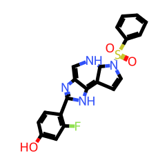 O=S(=O)(c1ccccc1)N1C=CC2=c3[nH]c(-c4ccc(O)cc4F)nc3=CNC21